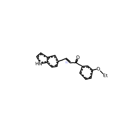 CCOc1cccc(C(=O)/C=C/c2ccc3[nH]ccc3c2)c1